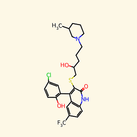 CC1CCCN(CCCC(O)CSc2c(-c3cc(Cl)ccc3O)c3cc(C(F)(F)F)ccc3[nH]c2=O)C1